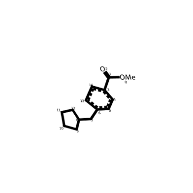 COC(=O)c1ccc(CC2CCCC2)cc1